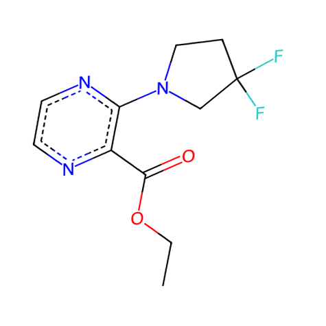 CCOC(=O)c1nccnc1N1CCC(F)(F)C1